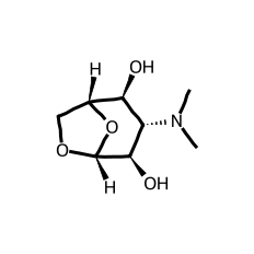 CN(C)[C@@H]1[C@@H](O)[C@@H]2OC[C@@H](O2)[C@H]1O